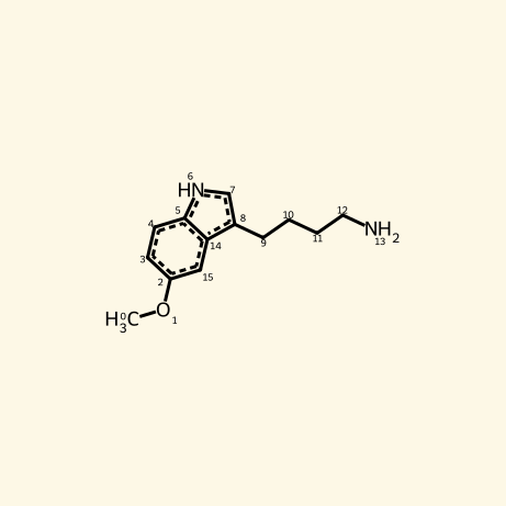 COc1ccc2[nH]cc(CCCCN)c2c1